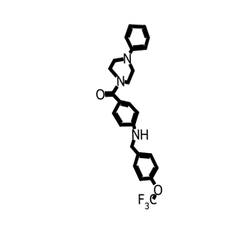 O=C(c1ccc(NCc2ccc(OC(F)(F)F)cc2)cc1)N1CCN(c2ccccc2)CC1